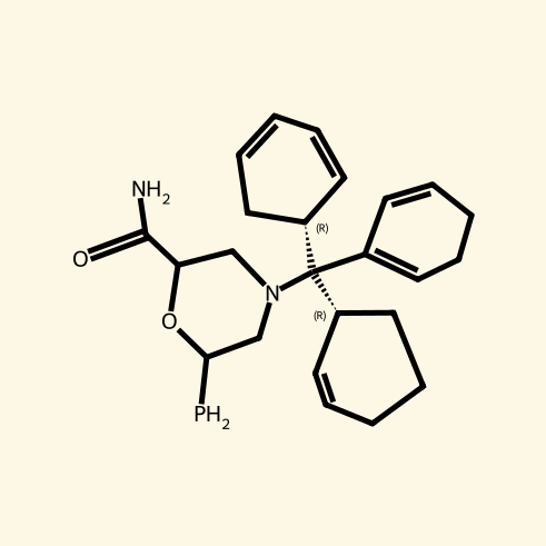 NC(=O)C1CN(C(C2=CCCC=C2)([C@H]2C=CC=CC2)[C@H]2C=CCCC2)CC(P)O1